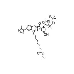 CCOC(=O)CCCCCCCCOc1cc(-c2scnc2C)ccc1CNC(=O)[C@@H]1C[C@@H](O)CN1C(=O)[C@@H](NC(=O)C1(F)CC1)C(C)(C)C